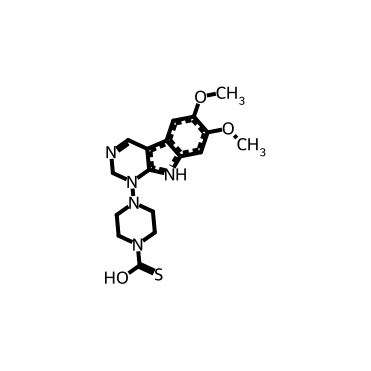 COc1cc2[nH]c3c(c2cc1OC)C=NCN3N1CCN(C(O)=S)CC1